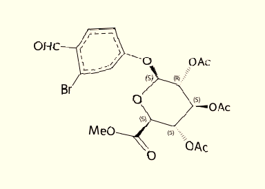 COC(=O)[C@H]1O[C@@H](Oc2ccc(C=O)c(Br)c2)[C@H](OC(C)=O)[C@@H](OC(C)=O)[C@@H]1OC(C)=O